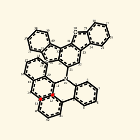 c1ccc(-c2ccccc2N(c2cccc3ccccc23)c2cc3c4ccccc4oc3c3c2sc2ccccc23)cc1